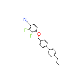 CCCc1ccc(-c2ccc(COc3ccc(C#N)c(F)c3F)cc2)cc1